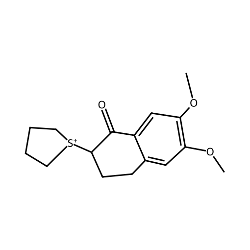 COc1cc2c(cc1OC)C(=O)C([S+]1CCCC1)CC2